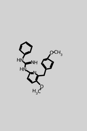 COc1ccc(Cc2nc(NC(=N)Nc3ccccc3)ccc2OC)cc1